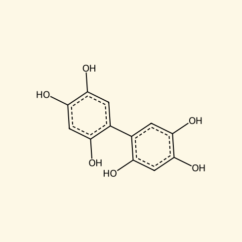 Oc1cc(O)c(-c2cc(O)c(O)cc2O)cc1O